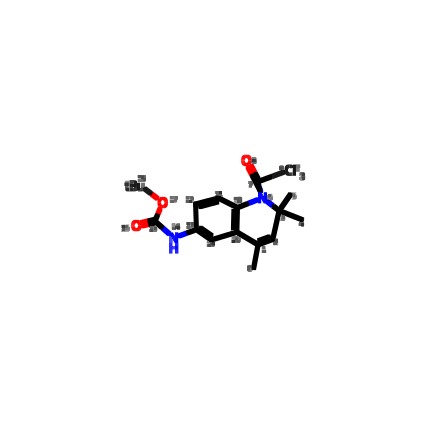 CC1=CC(C)(C)N(C(=O)C(F)(F)F)c2ccc(NC(=O)OC(C)(C)C)cc21